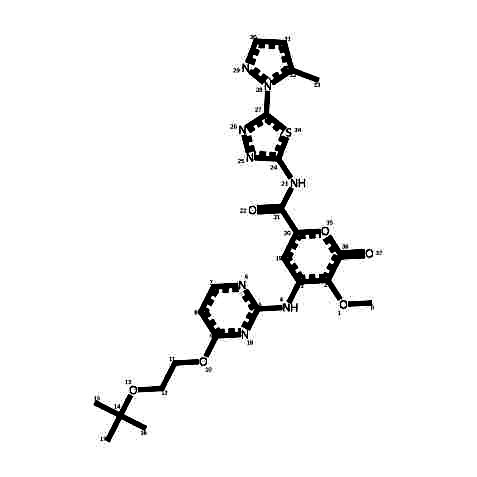 COc1c(Nc2nccc(OCCOC(C)(C)C)n2)cc(C(=O)Nc2nnc(-n3nccc3C)s2)oc1=O